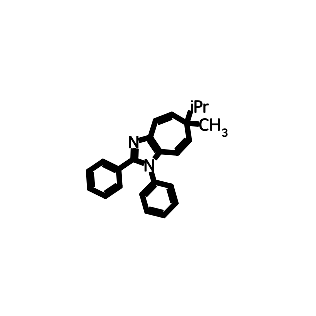 CC(C)C1(C)C=Cc2nc(-c3ccccc3)n(-c3ccccc3)c2C=C1